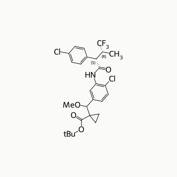 COC(c1ccc(Cl)c(NC(=O)[C@H](c2ccc(Cl)cc2)[C@@H](C)C(F)(F)F)c1)C1(C(=O)OC(C)(C)C)CC1